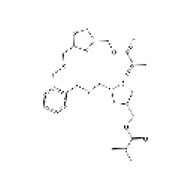 C=C(C)C(=O)OCC1CSC(CSCc2ccccc2CSCC2SCC(COC(=O)C(=C)C)S2)S1